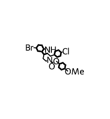 COc1ccc(OC(=O)N2CCc3c([nH]c4ccc(Br)cc34)C2c2ccc(Cl)cc2)cc1